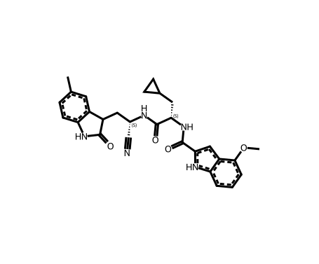 COc1cccc2[nH]c(C(=O)N[C@@H](CC3CC3)C(=O)N[C@H](C#N)CC3C(=O)Nc4ccc(C)cc43)cc12